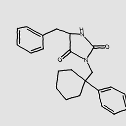 O=C1NC(Cc2ccccc2)C(=O)N1CC1(c2ccccc2)CCCCC1